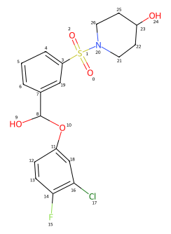 O=S(=O)(c1cccc(C(O)Oc2ccc(F)c(Cl)c2)c1)N1CCC(O)CC1